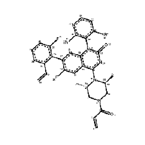 C=CC(=O)N1C[C@H](C)N(c2nc(=O)n(-c3c(C(C)C)ccnc3C(C)C)c3nc(-c4c(F)cccc4C=C)c(F)cc23)[C@@H](C)C1